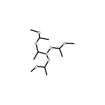 COC(C)OC(C)N(OC(C)OC)OC(C)OC